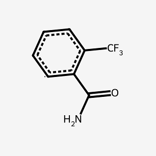 NC(=O)c1[c]cccc1C(F)(F)F